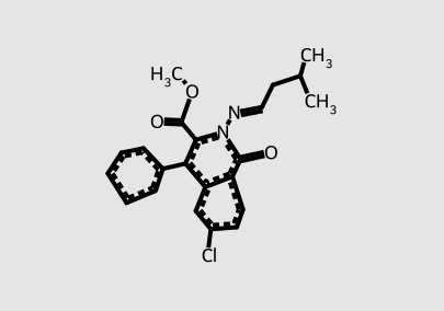 COC(=O)c1c(-c2ccccc2)c2cc(Cl)ccc2c(=O)n1N=CCC(C)C